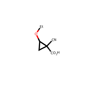 CCOC1CC1(C#N)C(=O)O